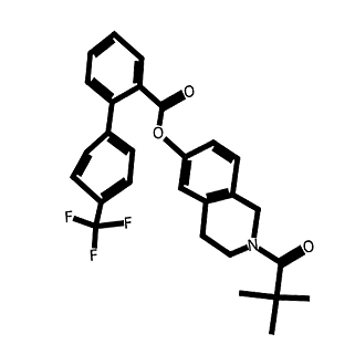 CC(C)(C)C(=O)N1CCc2cc(OC(=O)c3ccccc3-c3ccc(C(F)(F)F)cc3)ccc2C1